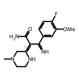 COc1cc(C(=N)/C(C(N)=O)=C2/CN(C)CCN2)ccc1F